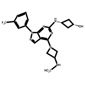 O=C(O)NC1CN(c2nc(N[C@H]3C[C@@H](O)C3)nc3c2cnn3-c2cccc(C(F)(F)F)c2)C1